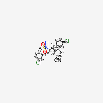 CC(NS(=O)(=O)Cc1ccc(Cl)cc1)C(Cc1ccc(Cl)cc1)c1cccc(C#N)c1